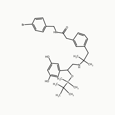 CC(C)(Cc1cccc(CC(=O)NCc2ccc(Br)cc2)c1)NCC(O[Si](C)(C)C(C)(C)C)c1cc(O)cc(O)c1